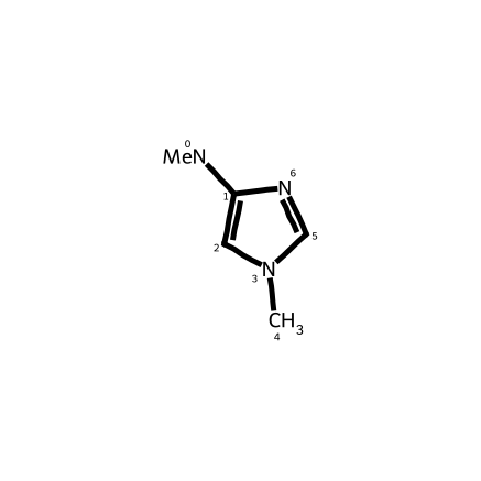 CNc1cn(C)cn1